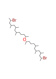 CC(Br)CC(C)CC(C)CC(C)CCCC(C)OC(C)CCCC(C)CC(C)CC(C)CC(C)Br